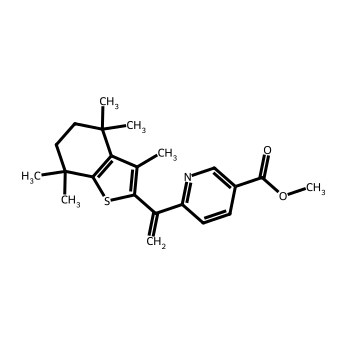 C=C(c1ccc(C(=O)OC)cn1)c1sc2c(c1C)C(C)(C)CCC2(C)C